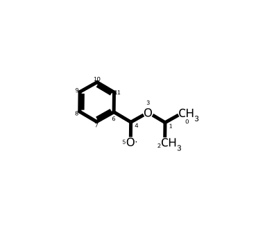 CC(C)OC([O])c1ccccc1